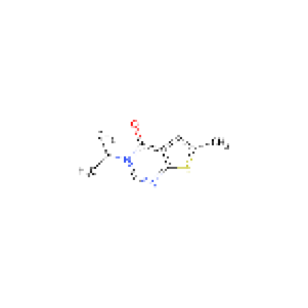 Cc1cc2c(=O)n(C(C)C)cnc2s1